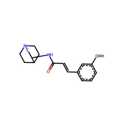 COc1cccc(C=CC(=O)NC2CN3CCC2CC3)c1